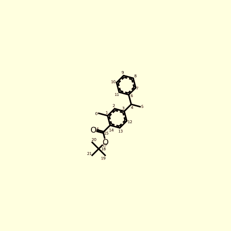 Cc1cc(C(C)c2ccccc2)ccc1C(=O)OC(C)(C)C